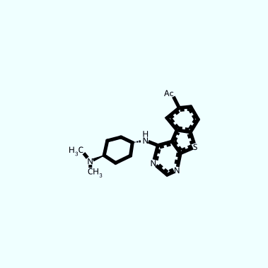 CC(=O)c1ccc2sc3ncnc(N[C@H]4CC[C@H](N(C)C)CC4)c3c2c1